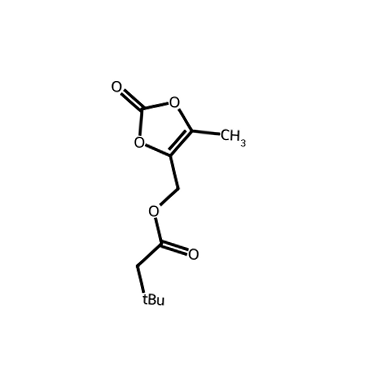 Cc1oc(=O)oc1COC(=O)CC(C)(C)C